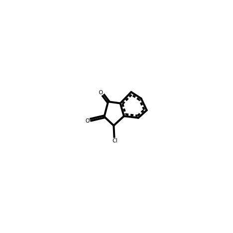 O=C1C(=O)C(Cl)c2ccccc21